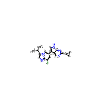 CCCC(CCC)c1cnc2c(F)cc(-c3c[nH]c4nc(C5CC5)ncc34)cn12